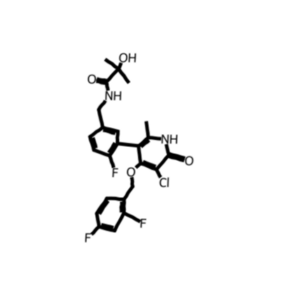 Cc1[nH]c(=O)c(Cl)c(OCc2ccc(F)cc2F)c1-c1cc(CNC(=O)C(C)(C)O)ccc1F